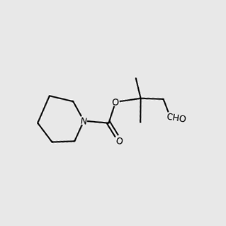 CC(C)(CC=O)OC(=O)N1CCCCC1